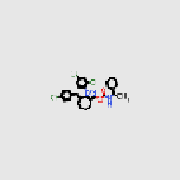 C[C@@H](NC(=O)Oc1nn(-c2ccc(Cl)cc2Cl)c2c1CCCC/C2=C\c1ccc(Cl)cc1)C1CCCCC1